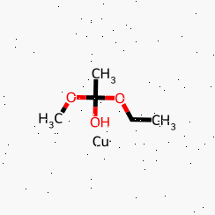 CCOC(C)(O)OC.[Cu]